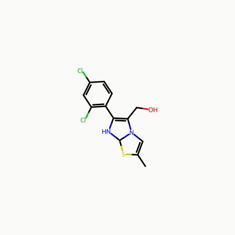 CC1=CN2C(CO)=C(c3ccc(Cl)cc3Cl)NC2S1